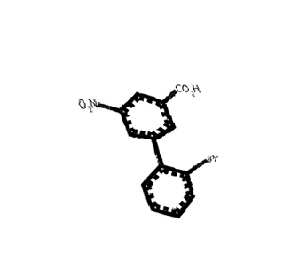 CC(C)c1ccccc1-c1cc(C(=O)O)cc([N+](=O)[O-])c1